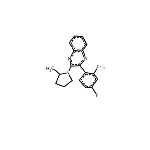 Cc1cc(F)ccc1-c1nc2ccccc2nc1N1CCCC1C